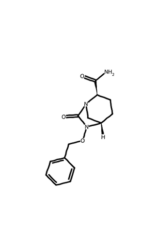 NC(=O)[C@H]1CC[C@H]2CN1C(=O)N2OCc1ccccc1